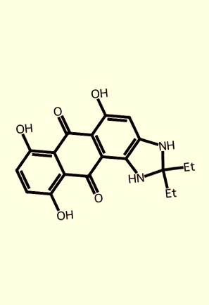 CCC1(CC)Nc2cc(O)c3c(c2N1)C(=O)c1c(O)ccc(O)c1C3=O